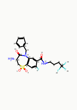 N[C@H]1CS(=O)(=O)c2cc(F)c(C(=O)NCCCC(F)(F)F)cc2N(Cc2ccccc2)C1=O